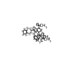 CC(=O)c1ccc2c(c1)N(C(=O)C1CCc3ccccc3CC1)Cc1cccnc1N2C(=O)OC(C)(C)C